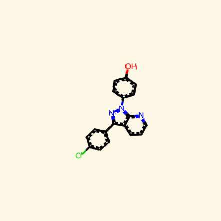 Oc1ccc(-n2nc(-c3ccc(Cl)cc3)c3cccnc32)cc1